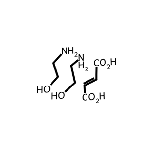 NCCO.NCCO.O=C(O)C=CC(=O)O